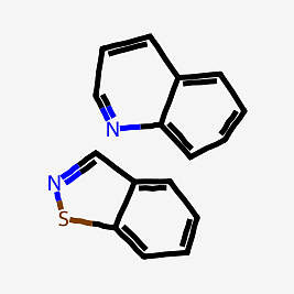 c1ccc2ncccc2c1.c1ccc2sncc2c1